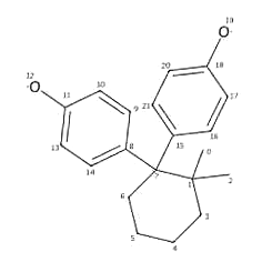 CC1(C)CCCCC1(c1ccc([O])cc1)c1ccc([O])cc1